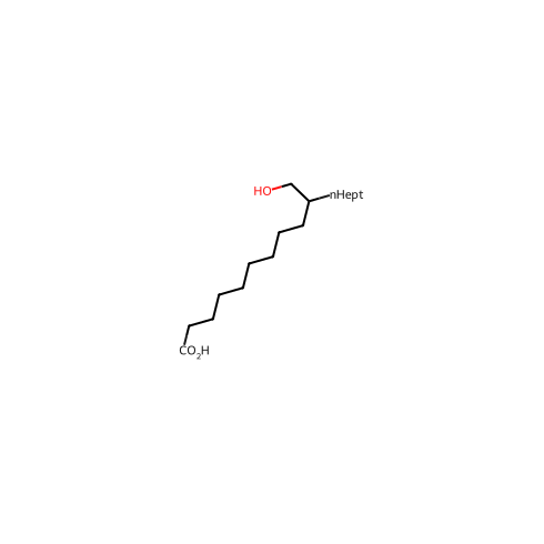 CCCCCCCC(CO)CCCCCCCCC(=O)O